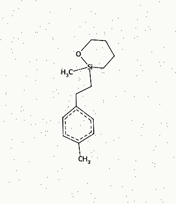 Cc1ccc(CC[Si]2(C)CCCCO2)cc1